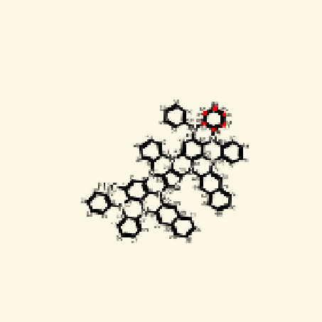 Cc1cc2c3c4c1N(c1ccccc1)c1ccccc1N4c1cc4ccccc4cc1B3c1sc3c4c1N2c1ccccc1N4c1cc(N(c2ccccc2)c2ccccc2)c2c4c1B3c1cc3ccccc3cc1N4c1ccccc1N2c1ccccc1